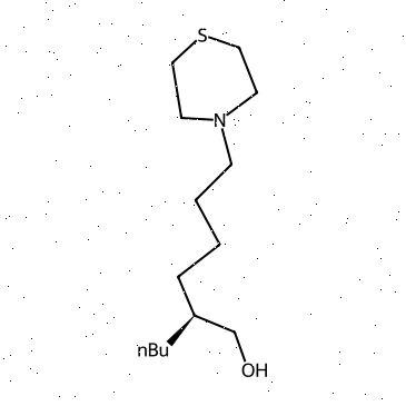 CCCC[C@H](CO)CCCCN1CCSCC1